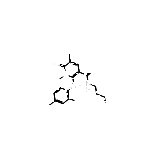 Cc1cc(C(=O)NCCCO)c(Nc2ccc(I)cc2F)n(C)c1=O